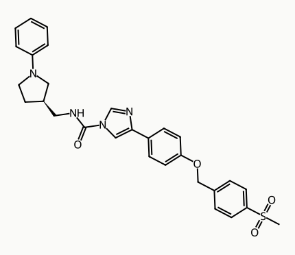 CS(=O)(=O)c1ccc(COc2ccc(-c3cn(C(=O)NC[C@H]4CCN(c5ccccc5)C4)cn3)cc2)cc1